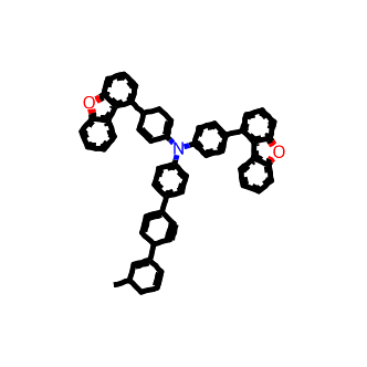 CC1C=C(C2C#CC(c3ccc(N(C4=CCC(c5cccc6oc7ccccc7c56)C=C4)c4ccc(-c5cccc6oc7ccccc7c56)cc4)cc3)=C=C2)C=CC1